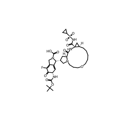 CC(C)(C)OC(=O)N[C@H]1C=C2C(=C(F)C1=O)CN(C(=O)O)C2[C@@H]1C[C@H]2C(=O)N[C@]3(C(=O)NS(=O)(=O)C4CC4)C[C@H]3CCCCCOCCCN2C1